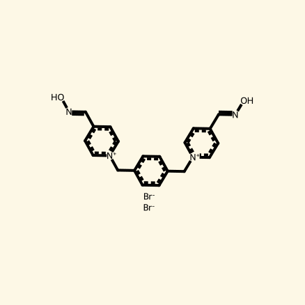 O/N=C/c1cc[n+](Cc2ccc(C[n+]3ccc(/C=N/O)cc3)cc2)cc1.[Br-].[Br-]